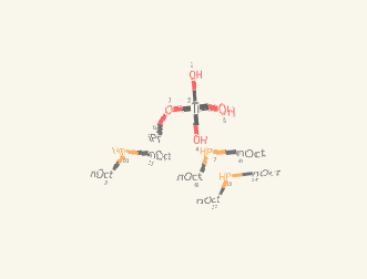 CC(C)[O][Ti]([OH])([OH])[OH].CCCCCCCCPCCCCCCCC.CCCCCCCCPCCCCCCCC.CCCCCCCCPCCCCCCCC